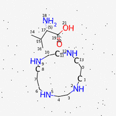 C1CNCCNCCCNCCNC1.CC(C)[C@H](N)C(=O)O